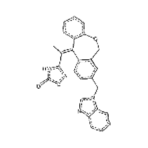 CC(=C1c2ccc(Cn3cnc4ccccc43)cc2COc2ccccc21)c1noc(=O)[nH]1